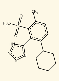 CS(=O)(=O)c1c(C(F)(F)F)ccc(C2CCCCC2)c1-c1nnn[nH]1